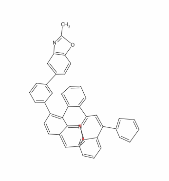 Cc1nc2cc(-c3cccc(-c4ccc5ccccc5c4-c4ccccc4-c4cc(-c5ccccc5)c5ccccc5n4)c3)ccc2o1